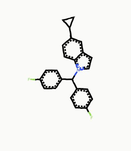 Fc1ccc(C(c2ccc(F)cc2)n2ccc3cc(C4CC4)ccc32)cc1